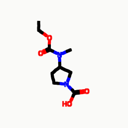 CCOC(=O)N(C)C1CCN(C(=O)O)C1